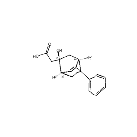 O=C(O)C[C@]1(O)C[C@H]2CC[C@@H]1C=C2c1ccccc1